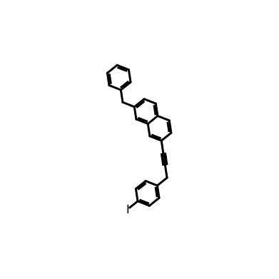 Ic1ccc(CC#Cc2ccc3ccc(Cc4ccccc4)cc3c2)cc1